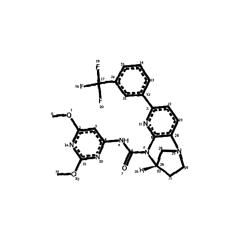 COc1cc(NC(=O)N2c3nc(-c4cccc(C(F)(F)F)c4)ccc3N3CC[C@H]2C3)nc(OC)n1